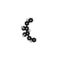 c1ccc2c(c1)oc1ccc(-c3cc4oc5cc(-c6ccc7oc8ccccc8c7c6)c6cnccc6c5c4c4ccncc34)cc12